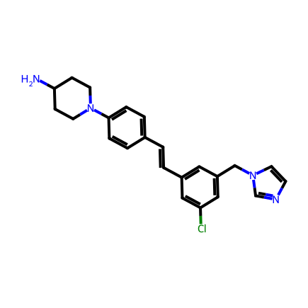 NC1CCN(c2ccc(C=Cc3cc(Cl)cc(Cn4ccnc4)c3)cc2)CC1